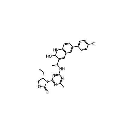 CC[C@H]1COC(=O)N1c1nc(C)nc(N[C@@H](C)C2=Cc3cc(-c4ccc(Cl)cc4)ccc3NC2O)n1